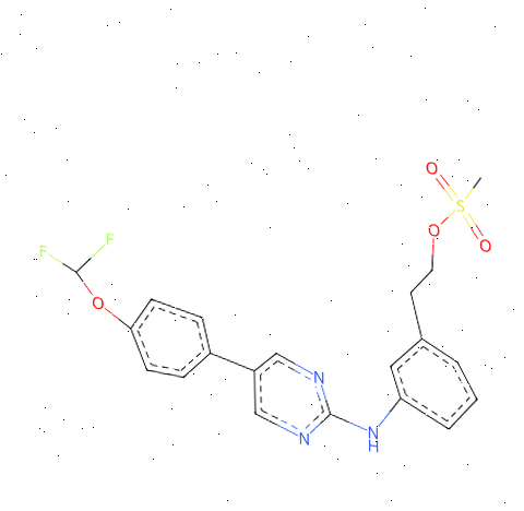 CS(=O)(=O)OCCc1cccc(Nc2ncc(-c3ccc(OC(F)F)cc3)cn2)c1